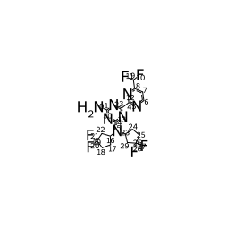 Nc1nc(-c2nccc(C(F)F)n2)nc(N(C2CCC(F)(F)C2)C2CCC(F)(F)C2)n1